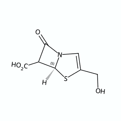 O=C(O)C1C(=O)N2C=C(CO)S[C@@H]12